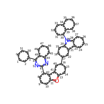 c1ccc(-c2nc(-c3cccc4oc5ccc(-c6ccc7c(c6)c6ccccc6n7-c6cccc7ccccc67)cc5c34)nc3ccccc23)cc1